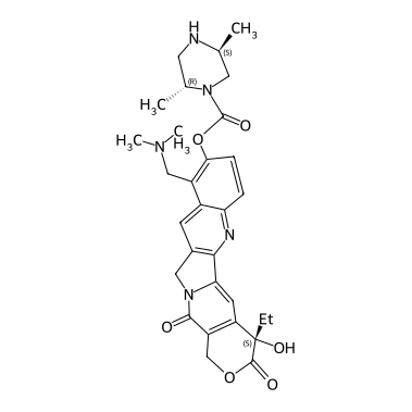 CC[C@@]1(O)C(=O)OCc2c1cc1n(c2=O)Cc2cc3c(CN(C)C)c(OC(=O)N4C[C@H](C)NC[C@H]4C)ccc3nc2-1